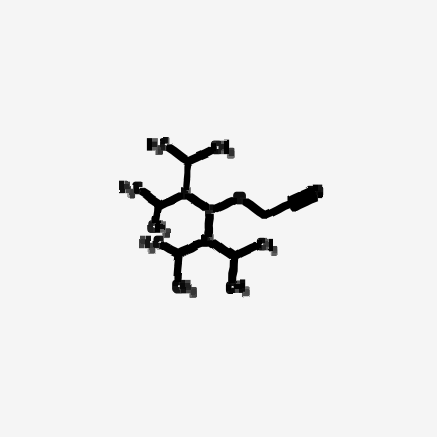 CC(C)N(C(C)C)P(OCC#N)N(C(C)C)C(C)C